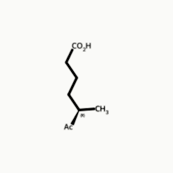 CC(=O)[C@H](C)CCCC(=O)O